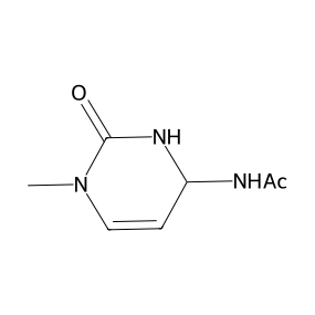 CC(=O)NC1C=CN(C)C(=O)N1